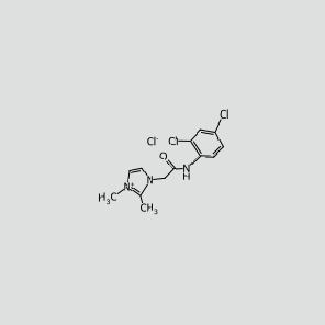 Cc1n(CC(=O)Nc2ccc(Cl)cc2Cl)cc[n+]1C.[Cl-]